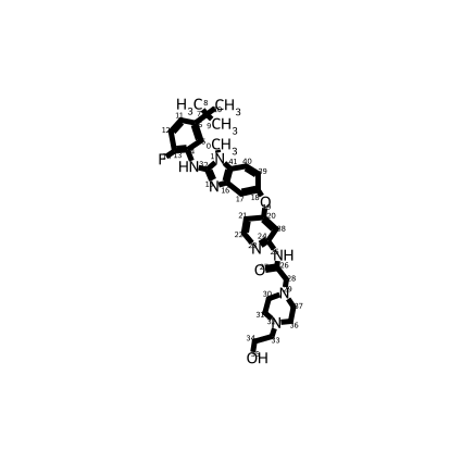 Cn1c(Nc2cc(C(C)(C)C)ccc2F)nc2cc(Oc3ccnc(NC(=O)CN4CCN(CCO)CC4)c3)ccc21